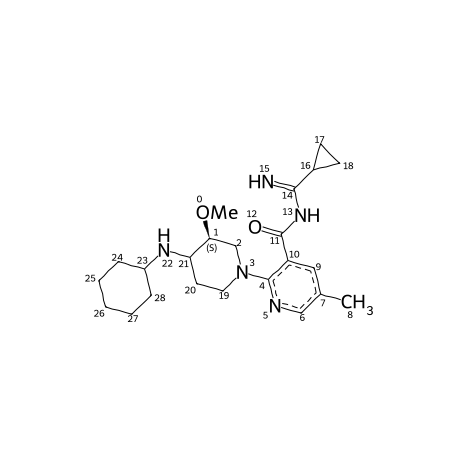 CO[C@H]1CN(c2ncc(C)cc2C(=O)NC(=N)C2CC2)CCC1NC1CCCCC1